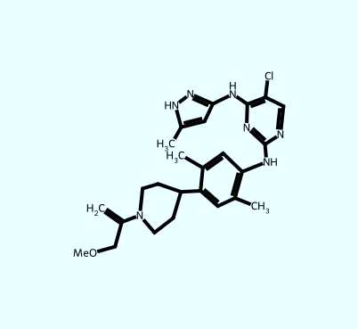 C=C(COC)N1CCC(c2cc(C)c(Nc3ncc(Cl)c(Nc4cc(C)[nH]n4)n3)cc2C)CC1